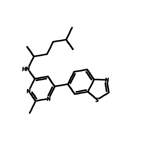 Cc1nc(NC(C)CCC(C)C)cc(-c2ccc3ncsc3c2)n1